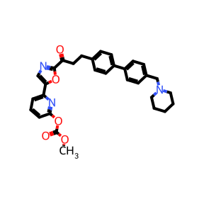 COC(=O)Oc1cccc(-c2cnc(C(=O)CCc3ccc(-c4ccc(CN5CCCCC5)cc4)cc3)o2)n1